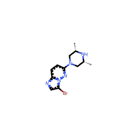 C[C@@H]1CN(c2ccc3ncc(Br)n3n2)C[C@H](C)N1